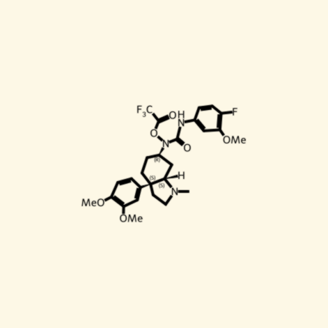 COc1cc(NC(=O)N(OC(=O)C(F)(F)F)[C@@H]2CC[C@@]3(c4ccc(OC)c(OC)c4)CCN(C)[C@H]3C2)ccc1F